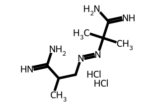 CC(CN=NC(C)(C)C(=N)N)C(=N)N.Cl.Cl